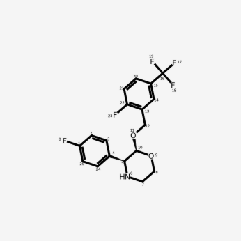 Fc1ccc([C@@H]2NCCO[C@@H]2OCc2cc(C(F)(F)F)ccc2F)cc1